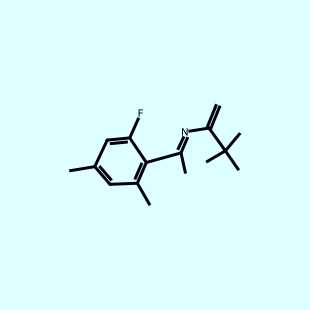 C=C(/N=C(\C)c1c(C)cc(C)cc1F)C(C)(C)C